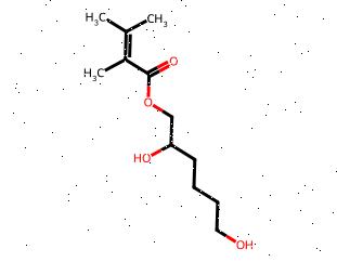 CC(C)=C(C)C(=O)OCC(O)CCCCO